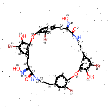 O=C1NCCc2cc(Br)c(O)c(c2)Oc2ccc(cc2Br)CCNC(=O)/C(=N/O)Cc2cc(Br)c(O)c(c2)Oc2ccc(cc2Br)C/C1=N\O